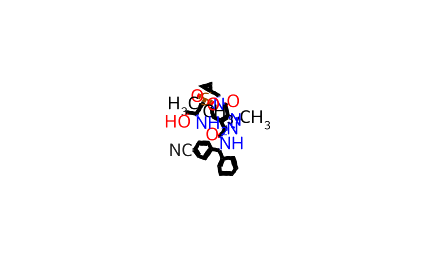 Cn1nc(C(=O)NC(c2ccccc2)c2ccc(C#N)cc2)c2c1C(=O)N(CC1(S(=O)(=O)C(C)(C)C(N)CO)CC1)CC2